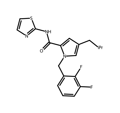 CC(C)Cc1cc(C(=O)Nc2nccs2)n(Cc2cccc(F)c2F)c1